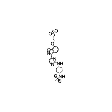 CS(=O)(=O)CCCOc1cccc2c(-c3ccnc(N[C@H]4CC[C@H](NS(C)(=O)=O)CC4)n3)noc12